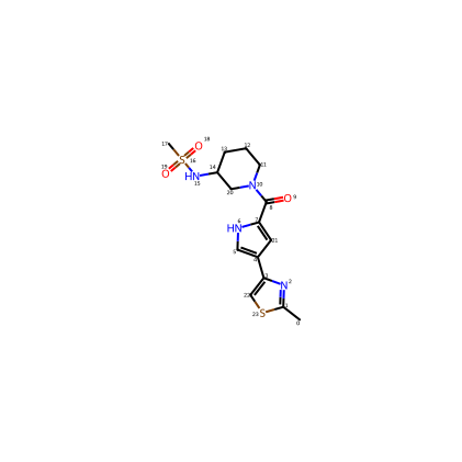 Cc1nc(-c2c[nH]c(C(=O)N3CCCC(NS(C)(=O)=O)C3)c2)cs1